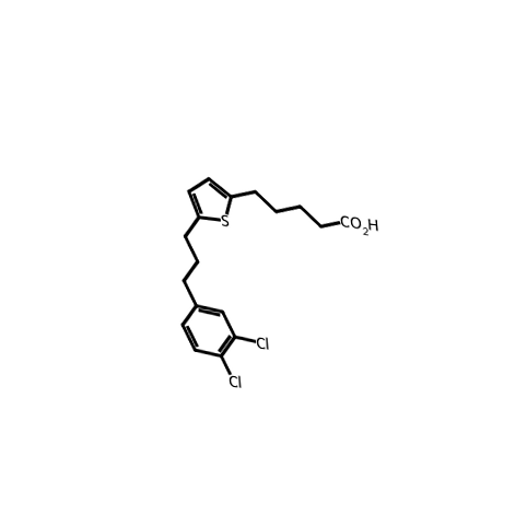 O=C(O)CCCCc1ccc(CCCc2ccc(Cl)c(Cl)c2)s1